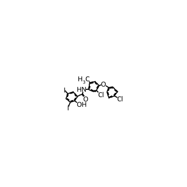 Cc1cc(Oc2ccc(Cl)cc2)c(Cl)cc1NC(=O)c1cc(I)cc(I)c1O